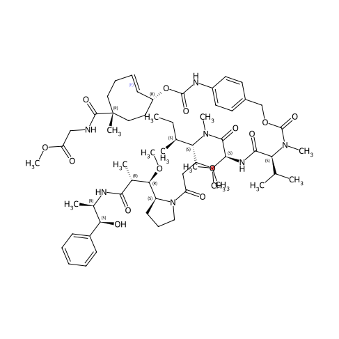 CC[C@H](C)[C@@H](C(CC(=O)N1CCC[C@H]1[C@H](OC)[C@@H](C)C(=O)N[C@H](C)[C@@H](O)c1ccccc1)OC)N(C)C(=O)[C@@H](NC(=O)[C@H](C(C)C)N(C)C(=O)OCc1ccc(NC(=O)O[C@H]2/C=C/CC[C@@](C)(C(=O)NCC(=O)OC)CC2)cc1)C(C)C